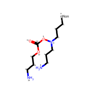 CCCCCCCCCCCCN(CCCN)OC(=O)OCCCN